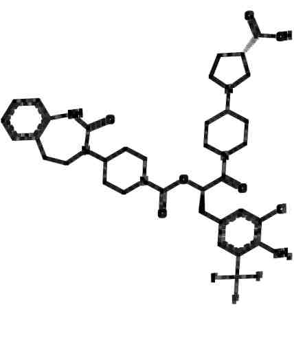 Nc1c(Cl)cc(C[C@@H](OC(=O)N2CCC(N3CCc4ccccc4NC3=O)CC2)C(=O)N2CCC(N3CC[C@H](C(=O)O)C3)CC2)cc1C(F)(F)F